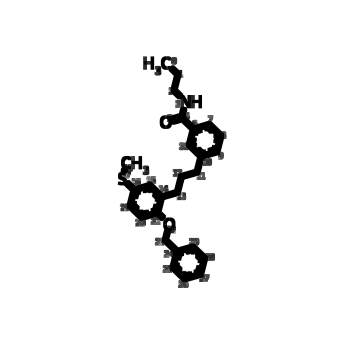 CCCNC(=O)c1cccc(CCCc2cc(SC)ccc2OCc2ccccc2)c1